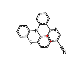 N#Cc1ccc(-c2ccccc2N2c3ccccc3Sc3ccccc32)nc1